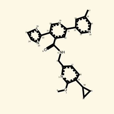 COc1nc(CNC(=O)c2cc(-c3cncc(C)c3)ncc2-c2nccs2)ccc1C1CC1